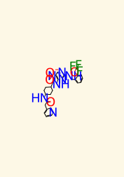 O=C(Cc1cccnc1)NC1CCC(CNc2nc(NCc3ccccc3OC(F)(F)F)ncc2[N+](=O)[O-])CC1